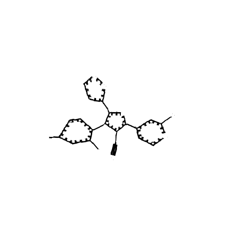 Cc1ccc(-c2c(-c3ccn[nH]3)sc(-c3ccnc(N)c3)c2C#N)c(I)c1